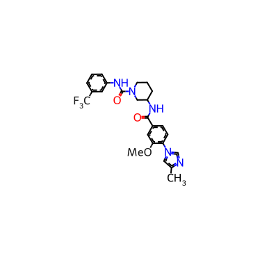 COc1cc(C(=O)NC2CCCN(C(=O)Nc3cccc(C(F)(F)F)c3)C2)ccc1-n1cnc(C)c1